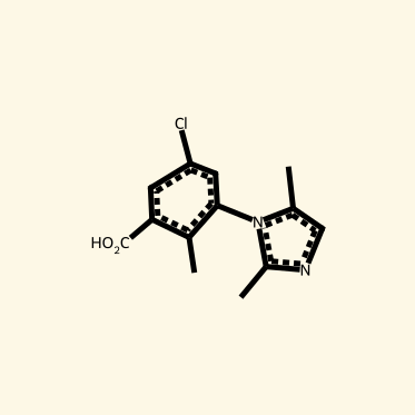 Cc1c(C(=O)O)cc(Cl)cc1-n1c(C)cnc1C